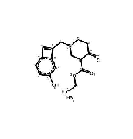 Br.CCOC(=O)C1CN(CC2=Cc3ccc(O)cc32)CCC1=O